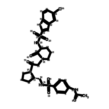 CC(=O)Nc1ccc(S(=O)(=O)NC[C@@H]2CCCN2C(=O)CN2CCCC(NS(=O)(=O)c3cc4cc(Cl)ccc4s3)C2=O)cc1